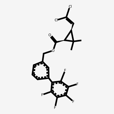 CC1(C)[C@H](C=C(Cl)Cl)[C@@H]1C(=O)OCc1cccc(-c2c(F)c(F)c(F)c(F)c2F)c1